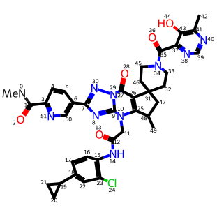 CNC(=O)c1ccc(-c2nc3n(CC(=O)Nc4ccc(C5CC5)cc4Cl)c4c(c(=O)n3n2)C2(CCN(C(=O)c3ncnc(C)c3O)CC2)CC4C)cn1